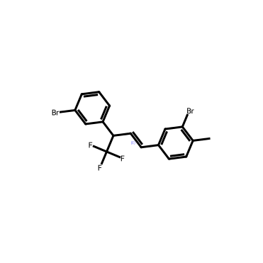 Cc1ccc(/C=C/C(c2cccc(Br)c2)C(F)(F)F)cc1Br